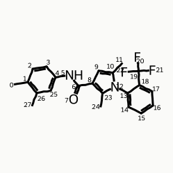 Cc1ccc(NC(=O)c2cc(C)n(-c3ccccc3C(F)(F)F)c2C)cc1C